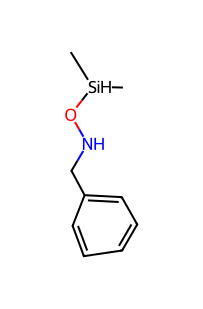 C[SiH](C)ONCc1ccccc1